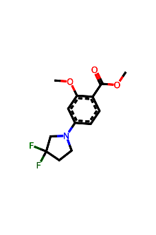 COC(=O)c1ccc(N2CCC(F)(F)C2)cc1OC